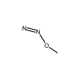 CON=[N]